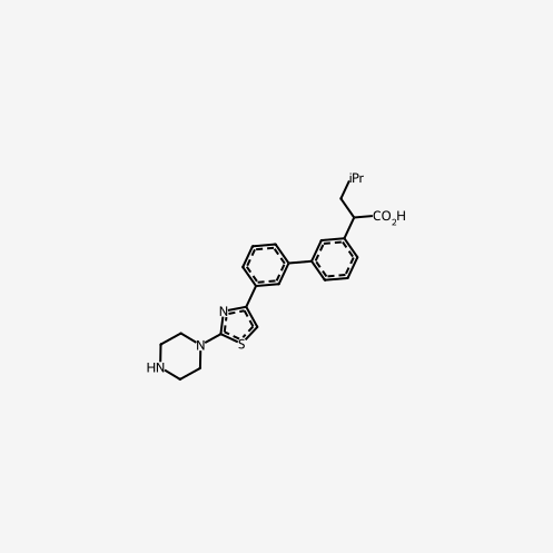 CC(C)CC(C(=O)O)c1cccc(-c2cccc(-c3csc(N4CCNCC4)n3)c2)c1